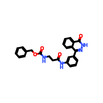 O=C(CCNC(=O)OCc1ccccc1)Nc1cccc(-c2n[nH]c(=O)c3ccccc23)c1